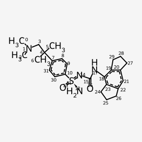 CN(C)CC(C)(C)c1ccc([S@@](N)(=O)=NC(=O)Nc2c3c(cc4c2CCC4)CCC3)cc1